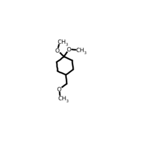 COCC1CCC(OC)(OC)CC1